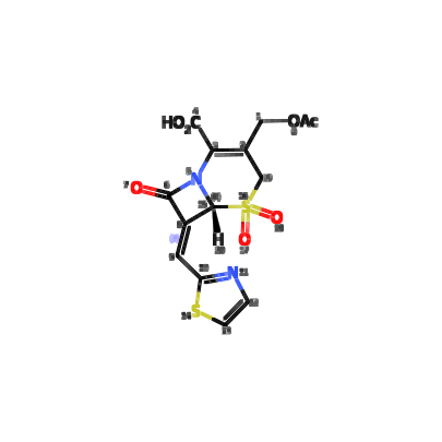 CC(=O)OCC1=C(C(=O)O)N2C(=O)/C(=C/c3nccs3)[C@H]2S(=O)(=O)C1